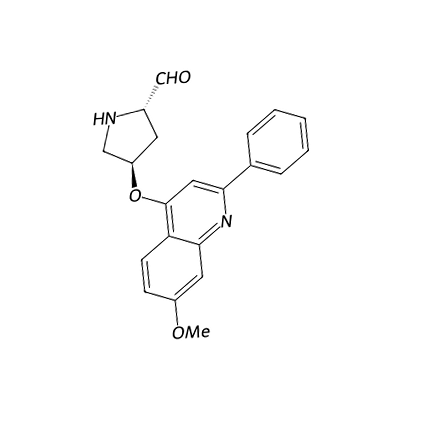 COc1ccc2c(O[C@H]3CN[C@H](C=O)C3)cc(-c3ccccc3)nc2c1